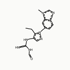 CCc1c(NC(=N)NC=O)cnn1-c1ccc2ncn(C)c2c1